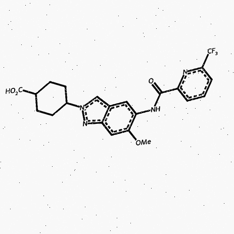 COc1cc2nn(C3CCC(C(=O)O)CC3)cc2cc1NC(=O)c1cccc(C(F)(F)F)n1